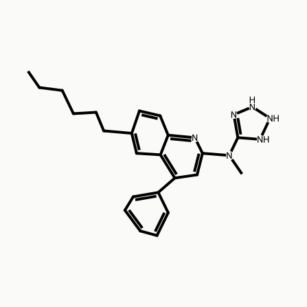 CCCCCCc1ccc2nc(N(C)C3=NNNN3)cc(-c3ccccc3)c2c1